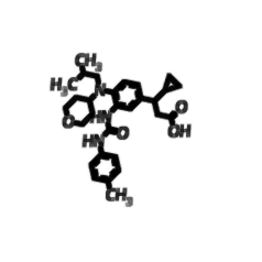 Cc1ccc(NC(=O)Nc2cc(C(CC(=O)O)C3CC3)ccc2N(CC(C)C)C2CCOCC2)cc1